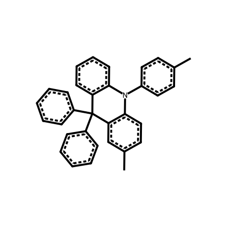 Cc1ccc(N2c3ccccc3C(c3ccccc3)(c3ccccc3)c3cc(C)ccc32)cc1